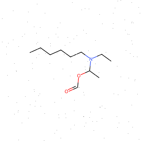 CCCCCCN(CC)C(C)O[C]=O